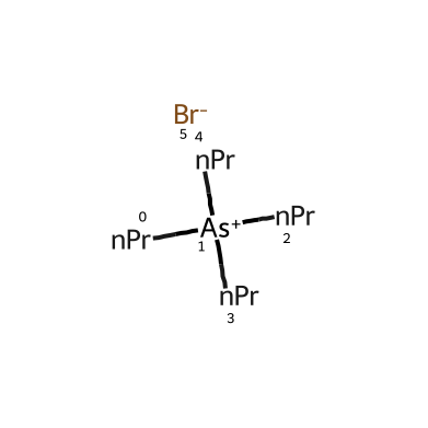 CCC[As+](CCC)(CCC)CCC.[Br-]